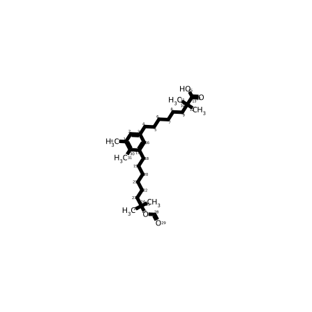 Cc1cc(CCCCCCC(C)(C)C(=O)O)cc(CCCCCCC(C)(C)OC=O)c1C